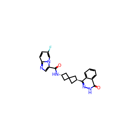 O=C(N[C@H]1CC2(C1)C[C@H](c1n[nH]c(=O)c3ccccc31)C2)c1cnc2ccc(F)cn12